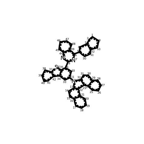 c1ccc2cc(-c3nc(-c4cc(-n5c6ccc7ccccc7c6c6c7ccccc7ccc65)cc5c4sc4ccccc45)nc4ccccc34)ccc2c1